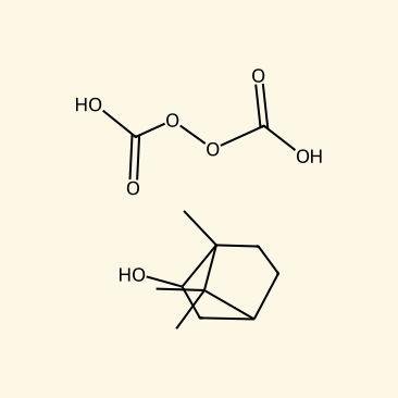 CC1(C)C2CCC1(C)C(O)C2.O=C(O)OOC(=O)O